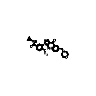 Cc1ccc(C(=O)NC2CC2)cc1-n1ncc(C(=O)c2cccc(CN3CCOCC3)c2)c1N